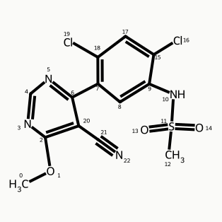 COc1ncnc(-c2cc(NS(C)(=O)=O)c(Cl)cc2Cl)c1C#N